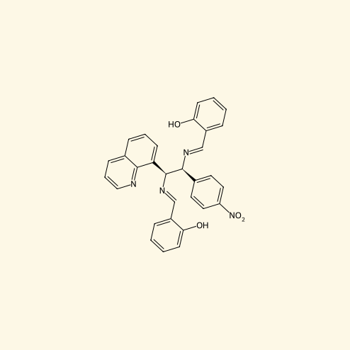 O=[N+]([O-])c1ccc([C@H](/N=C/c2ccccc2O)[C@@H](/N=C/c2ccccc2O)c2cccc3cccnc23)cc1